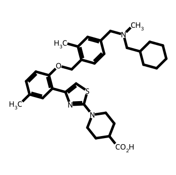 Cc1ccc(OCc2ccc(CN(C)CC3CCCCC3)cc2C)c(-c2csc(N3CCC(C(=O)O)CC3)n2)c1